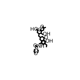 CCc1cc(CNC(=O)N2CCOCC2)c2c(c1O)C(=O)CC(CC(CCO)C(CO)C(=O)CC(C)=O)C2